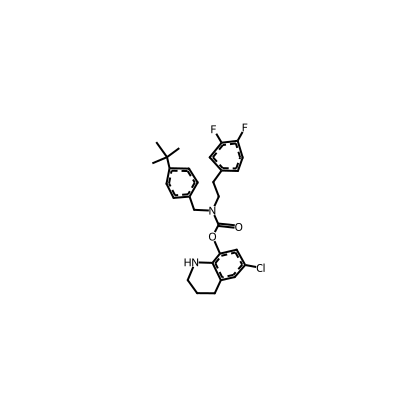 CC(C)(C)c1ccc(CN(CCc2ccc(F)c(F)c2)C(=O)Oc2cc(Cl)cc3c2NCCC3)cc1